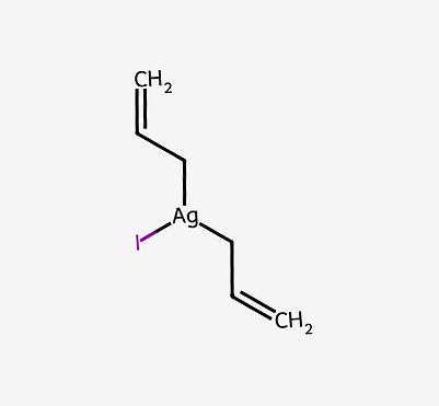 C=C[CH2][Ag]([I])[CH2]C=C